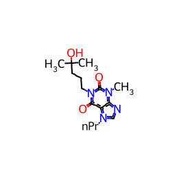 CCCn1cnc2c1c(=O)n(CCCC(C)(C)O)c(=O)n2C